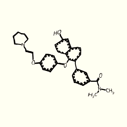 CN(C)C(=O)c1cccc(-c2ccc3cc(O)ccc3c2Oc2ccc(OCCN3CCCCC3)cc2)c1